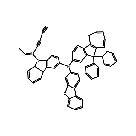 C#CC#C/C(=C\C)N1c2ccc(N(c3ccc4c(c3)C(c3ccccc3)(C3C=CC=CC3)C3=C4CC=CC=C3)c3ccc4c(c3)oc3ccccc34)cc2C2C=CC=CC21